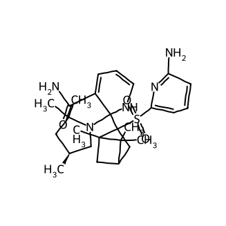 C[C@@H]1CN(C2(C3(S(=O)(=O)c4cccc(N)n4)CC4CC3(C)C4(C)C)NC=CC=C2C(N)=O)C(C)(C)C1